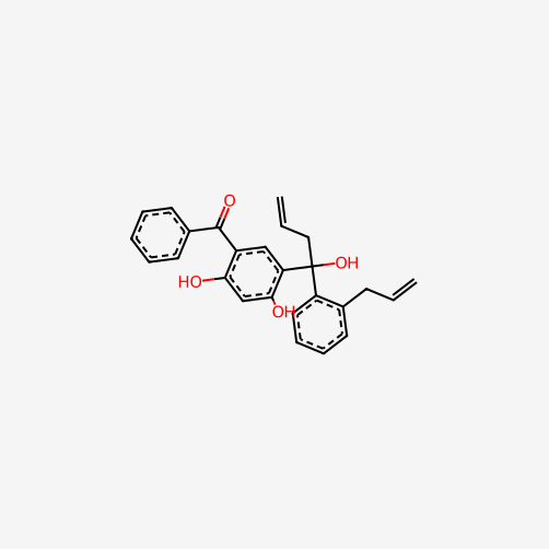 C=CCc1ccccc1C(O)(CC=C)c1cc(C(=O)c2ccccc2)c(O)cc1O